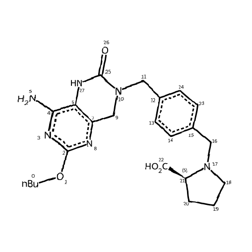 CCCCOc1nc(N)c2c(n1)CN(Cc1ccc(CN3CCC[C@H]3C(=O)O)cc1)C(=O)N2